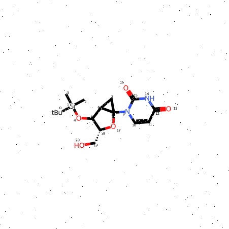 CC(C)(C)[Si](C)(C)OC1C2CC2(n2ccc(=O)[nH]c2=O)O[C@@H]1CO